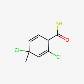 CC1(Cl)C=CC(C(=O)S)C(Cl)=C1